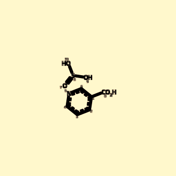 O=C(O)c1cccnc1.O=S(O)O